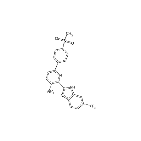 CS(=O)(=O)c1ccc(-c2ccc(N)c(-c3nc4ccc(C(F)(F)F)cc4[nH]3)n2)cc1